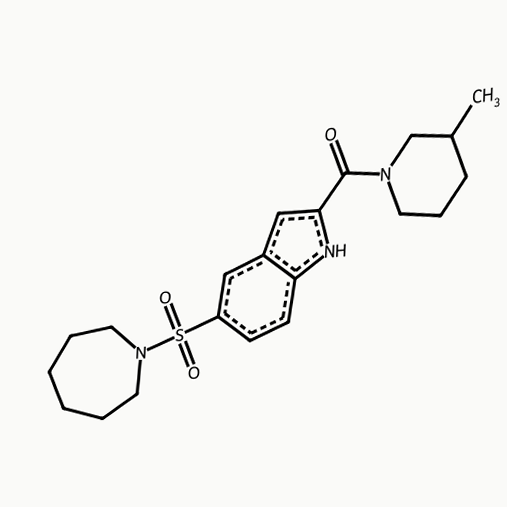 CC1CCCN(C(=O)c2cc3cc(S(=O)(=O)N4CCCCCC4)ccc3[nH]2)C1